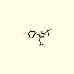 NCc1cc(C(F)(F)F)nn1-c1ccc(F)cc1